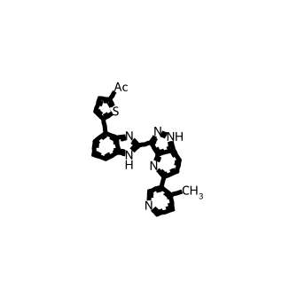 CC(=O)c1ccc(-c2cccc3[nH]c(-c4n[nH]c5ccc(-c6cnccc6C)nc45)nc23)s1